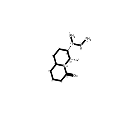 C[C@H]1[C@@H](P(P)PP)CCC2CCCC(=O)N21